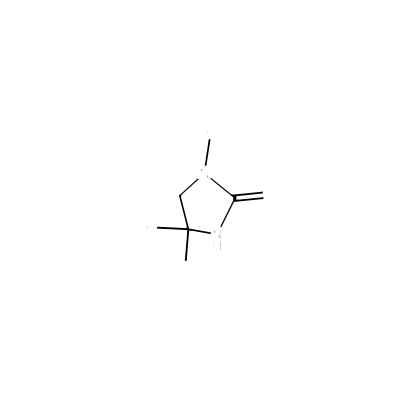 CN1CC(C)(C)NC1=O